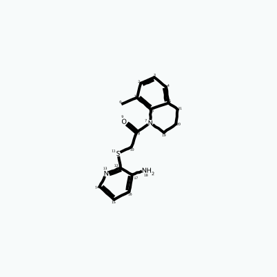 Cc1cccc2c1N(C(=O)CSc1ncccc1N)CCC2